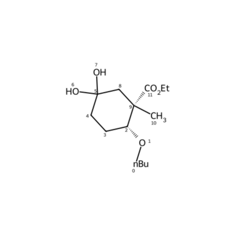 CCCCO[C@@H]1CCC(O)(O)C[C@]1(C)C(=O)OCC